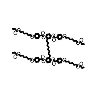 C=CC(=O)OCCCCCCOc1ccc(C(=O)Oc2ccc(OC(=O)c3ccc(OCCCCCCOC(=O)C=C)cc3)c(CCCCCCCCc3cc(OC(=O)c4ccc(OCCCCCCOC(=O)C=C)cc4)ccc3OC(=O)c3ccc(OCCCCCCOC(=O)C=C)cc3)c2)cc1